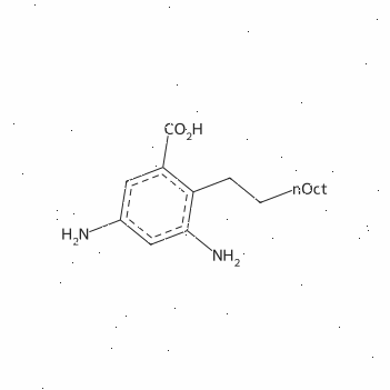 CCCCCCCCCCc1c(N)cc(N)cc1C(=O)O